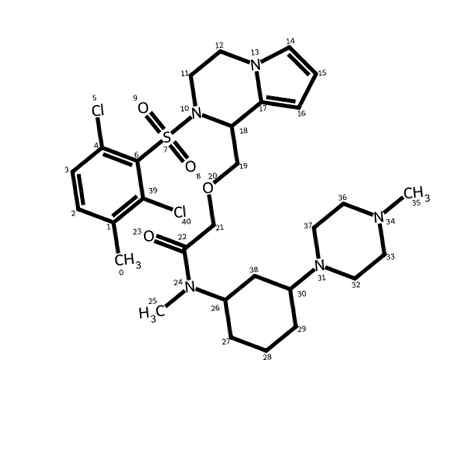 Cc1ccc(Cl)c(S(=O)(=O)N2CCn3cccc3C2COCC(=O)N(C)C2CCCC(N3CCN(C)CC3)C2)c1Cl